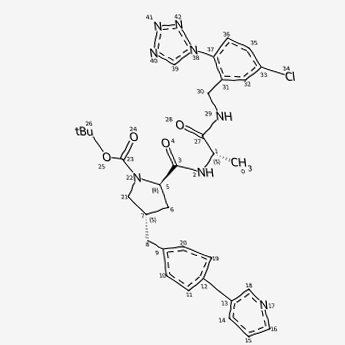 C[C@H](NC(=O)[C@H]1C[C@H](Cc2ccc(-c3cccnc3)cc2)CN1C(=O)OC(C)(C)C)C(=O)NCc1cc(Cl)ccc1-n1cnnn1